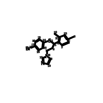 Cc1ccc(C(CCn2ccnc2)Sc2ccc(Br)cc2)c(C)c1